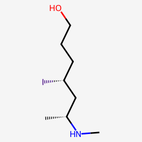 CN[C@H](C)C[C@H](I)CCCO